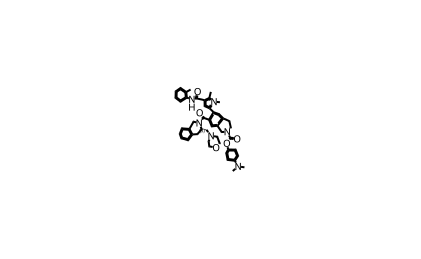 Cc1ccccc1NC(=O)c1cc(-c2cc3c(cc2C(=O)N2Cc4ccccc4C[C@H]2CN2CCOCC2)CN(C(=O)Oc2ccc(N(C)C)cc2)CC3)n(C)c1C